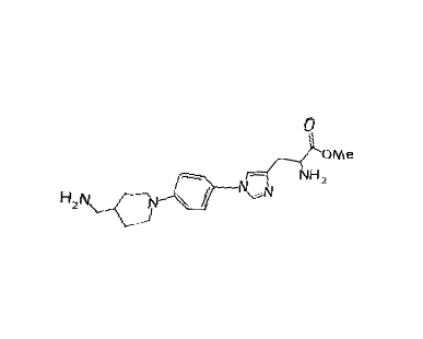 COC(=O)C(N)Cc1cn(-c2ccc(N3CCC(CN)CC3)cc2)cn1